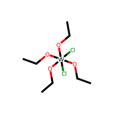 CC[O][W]([Cl])([Cl])([O]CC)([O]CC)[O]CC